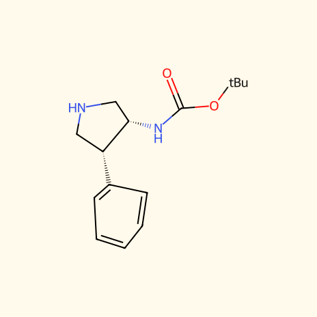 CC(C)(C)OC(=O)N[C@H]1CNC[C@H]1c1ccccc1